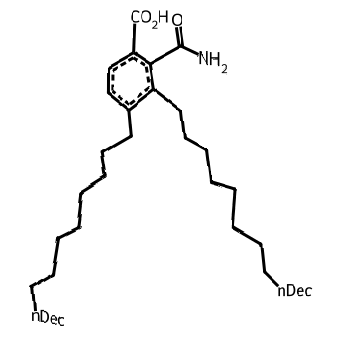 CCCCCCCCCCCCCCCCCCc1ccc(C(=O)O)c(C(N)=O)c1CCCCCCCCCCCCCCCCCC